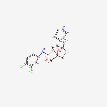 O=C(Nc1ccc(Cl)c(Cl)c1)[C@]12C[C@@]1(c1ccncc1)[C@@H]1CC[C@H]2O1